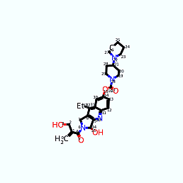 C=C(CO)C(=O)N1Cc2c(nc3ccc(OC(=O)N4CCC(N5CCCCC5)CC4)cc3c2CC)C1O